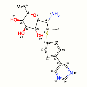 CSC1O[C@H]([C@H](N)[C@H](C)Sc2ccc(-c3cncnc3)cc2)C(O)[C@@H](O)[C@H]1O